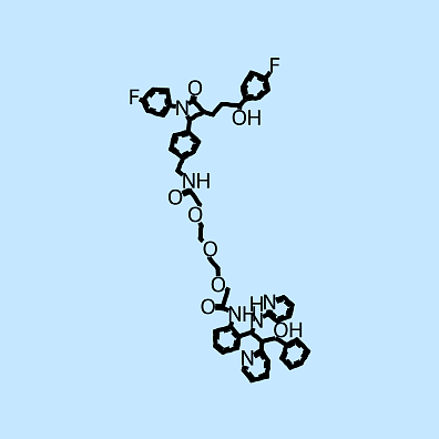 O=C(COCCOCCOCC(=O)Nc1ccccc1C(Nc1ccccn1)C(c1ccccn1)C(O)c1ccccc1)NCc1ccc(C2C(CCC(O)c3ccc(F)cc3)C(=O)N2c2ccc(F)cc2)cc1